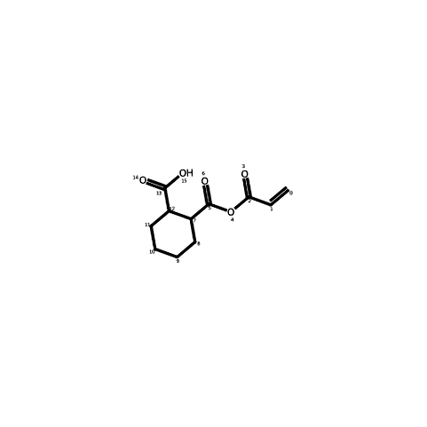 C=CC(=O)OC(=O)C1CCCCC1C(=O)O